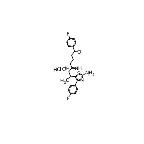 CC(CC(=N)CCCC(=O)c1ccc(F)cc1)c1sc(N)nc1-c1ccc(F)cc1.Cl.Cl